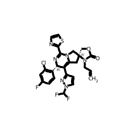 C=CCN1C(=O)OC[C@@]12CC1=C(c3ccn(C(F)F)n3)[C@H](c3ccc(F)cc3Cl)N=C(c3nccs3)N1C2